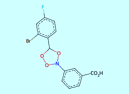 O=C(O)c1cccc(N2OOC(c3ccc(F)cc3Br)O2)c1